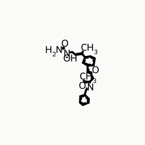 CC(=CCN(O)C(N)=O)c1ccc2oc(Cc3nc(-c4ccccc4)oc3C)cc2c1